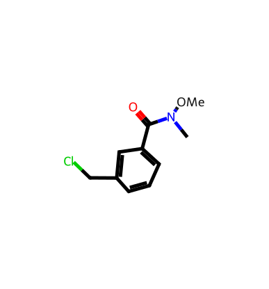 CON(C)C(=O)c1cccc(CCl)c1